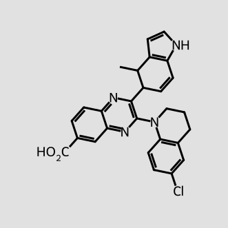 CC1c2cc[nH]c2C=CC1c1nc2ccc(C(=O)O)cc2nc1N1CCCc2cc(Cl)ccc21